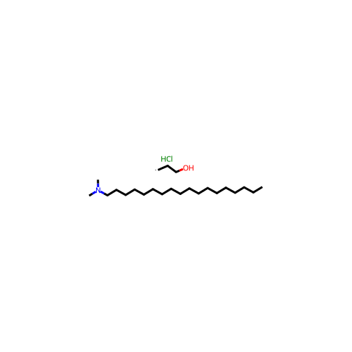 CCCCCCCCCCCCCCCCCCN(C)C.Cl.[CH2]CCO